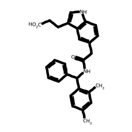 Cc1ccc(C(NC(=O)Cc2ccc3[nH]cc(CCC(=O)O)c3c2)c2ccccc2)c(C)c1